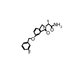 C[C@@H](C(N)=O)N1Cc2ccc(OCc3cccc(F)c3)cc2C1=O